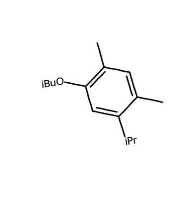 Cc1cc(C)c(C(C)C)cc1OCC(C)C